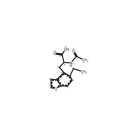 CCc1ccc2occc2c1CC(NC(C)=O)C(=O)O